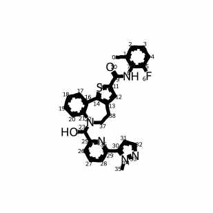 Cc1cccc(F)c1NC(=O)c1cc2c(s1)-c1ccccc1N(C(O)c1cccc(-c3ccnn3C)n1)CC2